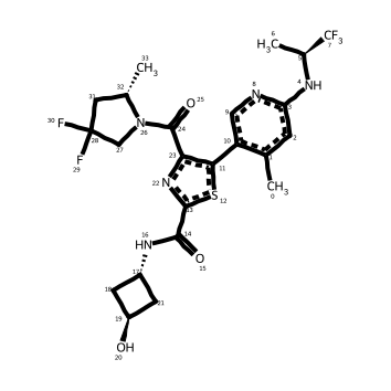 Cc1cc(N[C@@H](C)C(F)(F)F)ncc1-c1sc(C(=O)N[C@H]2C[C@H](O)C2)nc1C(=O)N1CC(F)(F)C[C@@H]1C